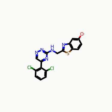 [O]c1ccc2sc(CNc3nncc(-c4c(Cl)cccc4Cl)n3)nc2c1